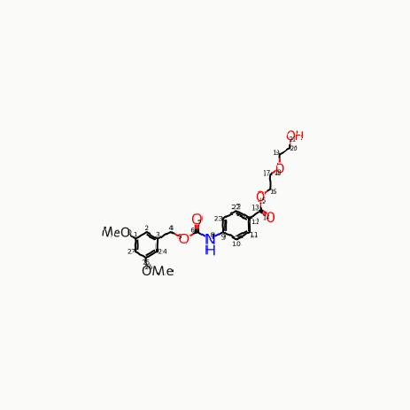 COc1cc(COC(=O)Nc2ccc(C(=O)OCCOCCO)cc2)cc(OC)c1